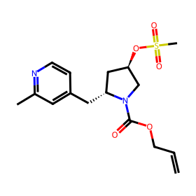 C=CCOC(=O)N1C[C@H](OS(C)(=O)=O)C[C@H]1Cc1ccnc(C)c1